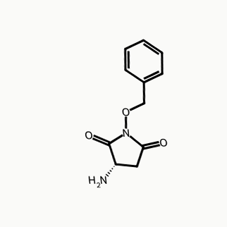 N[C@H]1CC(=O)N(OCc2ccccc2)C1=O